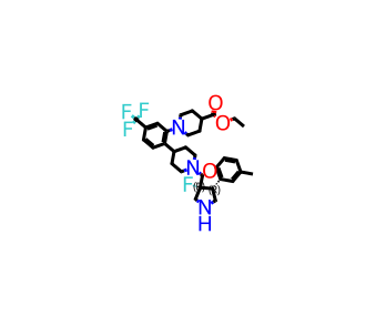 CCOC(=O)C1CCN(c2cc(C(F)(F)F)ccc2C2CCN(C(=O)[C@]3(F)CNC[C@H]3c3cccc(C)c3)CC2)CC1